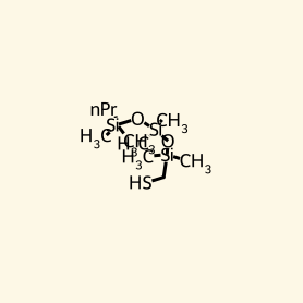 CCC[Si](C)(C)O[Si](C)(C)O[Si](C)(C)CS